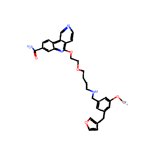 NC(=O)c1ccc2c(c1)nc(OCCOCCCCNCc1cc(Cc3ccoc3)cc(OC(F)(F)F)c1)c1ccncc12